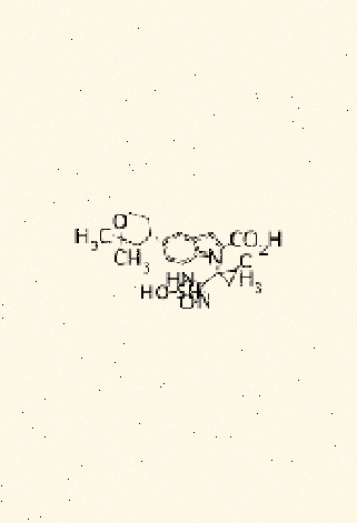 C[C@H]1C[C@]1(C1=NO[SH](O)N1)n1c(C(=O)O)cc2cc([C@H]3CCOC(C)(C)C3)ccc21